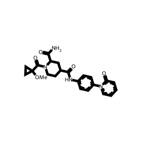 COC1(C(=O)N2CCC(C(=O)Nc3ccc(-n4ccccc4=O)cc3)[CH]C2C(N)=O)CC1